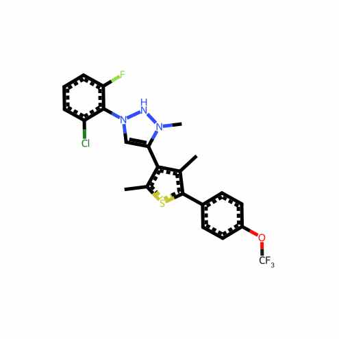 Cc1sc(-c2ccc(OC(F)(F)F)cc2)c(C)c1C1=CN(c2c(F)cccc2Cl)NN1C